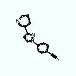 N#Cc1ccc(-n2ccc(-c3cccnc3)n2)cc1